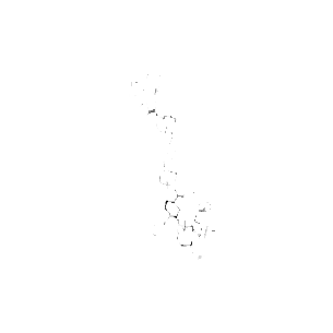 CC(C)(C)OC(=O)N1CCN(CCOCC2CCN(C(=O)c3ccc(Cl)c(N4CCC(=C=O)NC4=C=O)c3)CC2)CC1